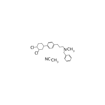 CC#N.CN(CCCc1ccc(C2CCC(Cl)C(Cl)C2)cc1)Cc1ccccc1